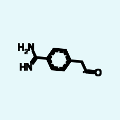 N=C(N)c1ccc(C[C]=O)cc1